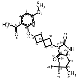 COc1ccc(C(N)=O)c(O[C@H]2CC3(C2)C[C@H](N2C(=O)N[C@@H](CC(C)C(F)(F)F)C2=O)C3)n1